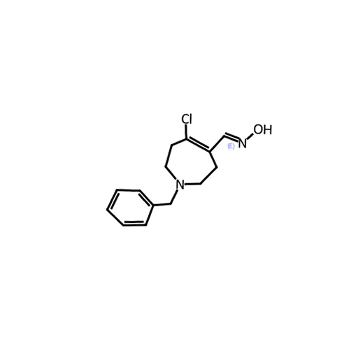 O/N=C/C1=C(Cl)CCN(Cc2ccccc2)CC1